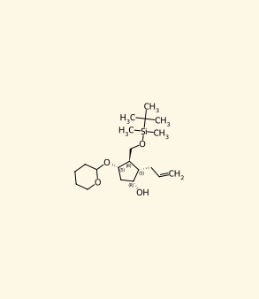 C=CC[C@H]1[C@H](CO[Si](C)(C)C(C)(C)C)[C@@H](OC2CCCCO2)C[C@H]1O